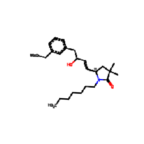 COCc1cccc(CC(O)C=C[C@H]2CC(C)(C)C(=O)N2CCCCCCC(=O)O)c1